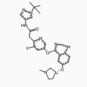 CN1CC[C@@H](Oc2ccc3ncnc(Oc4cnc(CC(=O)Nc5cnn(C(C)(C)C)c5)c(F)c4)c3c2)C1